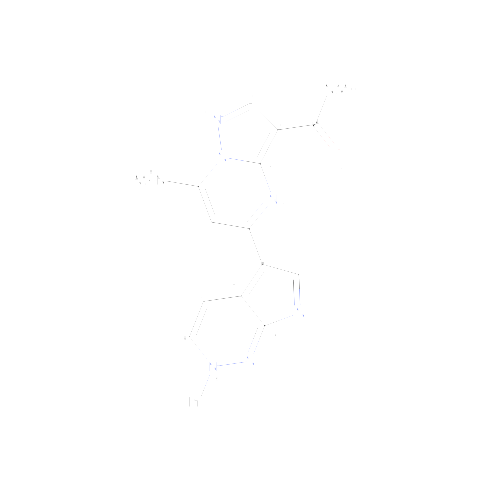 CNC(=O)c1cnn2c(NC)cc(-c3cnc4nn(C(C)C)ccc3-4)nc12